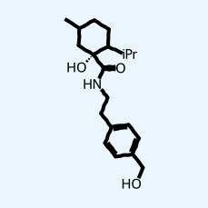 CC1CCC(C(C)C)[C@@](O)(C(=O)NCCc2ccc(CO)cc2)C1